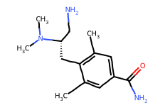 Cc1cc(C(N)=O)cc(C)c1C[C@@H](CN)N(C)C